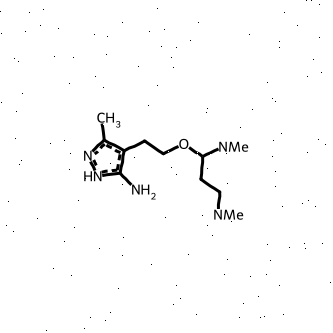 CNCCC(NC)OCCc1c(C)n[nH]c1N